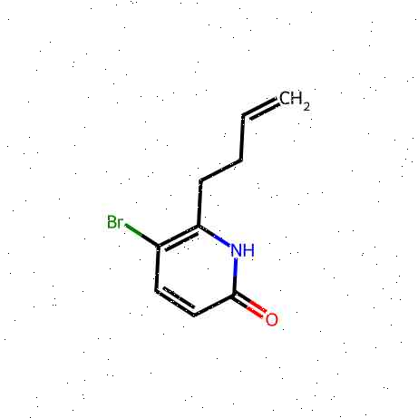 C=CCCc1[nH]c(=O)ccc1Br